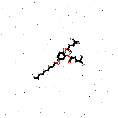 CCCCCCCCCOc1ccc(OC(=O)CCC(C)C)c(OC(=O)CCC(C)C)c1